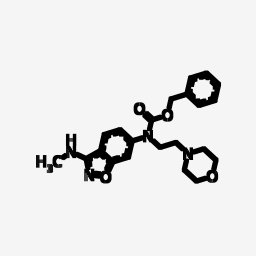 CNc1noc2cc(N(CCN3CCOCC3)C(=O)OCc3ccccc3)ccc12